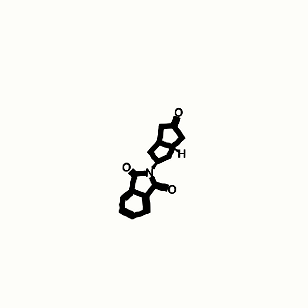 O=C1CC2C[C@H](N3C(=O)c4ccccc4C3=O)C[C@@H]2C1